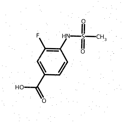 CS(=O)(=O)Nc1ccc(C(=O)O)cc1F